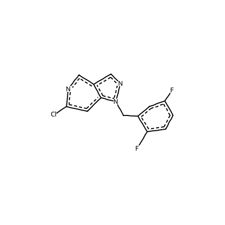 Fc1ccc(F)c(Cn2ncc3cnc(Cl)cc32)c1